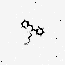 CSCCNC(Cc1ccccn1)c1ccccn1